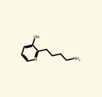 NCCCCc1ncccc1O